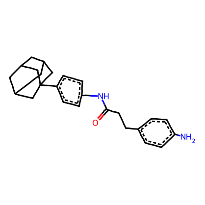 Nc1ccc(CCC(=O)Nc2ccc(C34CC5CC(CC(C5)C3)C4)cc2)cc1